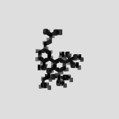 CCCOc1c(-c2cc(C=CC(=O)O)ccc2O)cc(C(C)(C)C)cc1C(C)(C)C